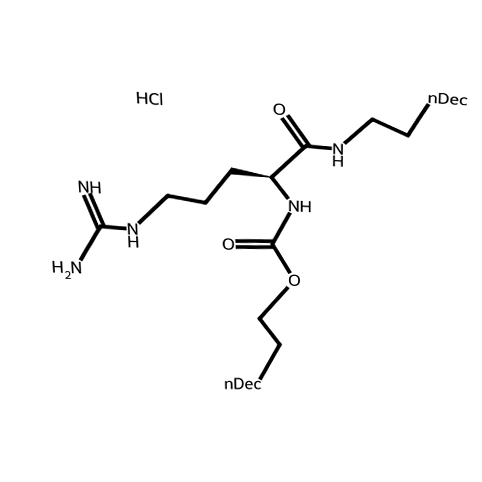 CCCCCCCCCCCCNC(=O)[C@H](CCCNC(=N)N)NC(=O)OCCCCCCCCCCCC.Cl